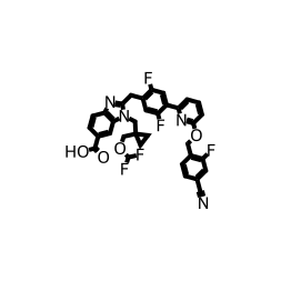 N#Cc1ccc(COc2cccc(-c3cc(F)c(Cc4nc5ccc(C(=O)O)cc5n4CC4(COC(F)F)CC4)cc3F)n2)c(F)c1